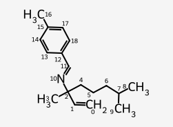 C=CC(C)(CCCC(C)C)N=Cc1ccc(C)cc1